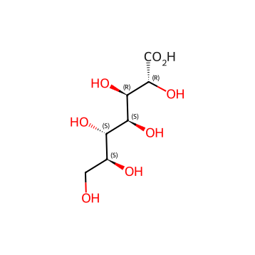 O=C(O)[C@H](O)[C@H](O)[C@@H](O)[C@@H](O)[C@@H](O)CO